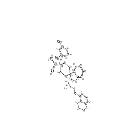 C[C@@H](COc1ncnc2c1CCCC2)C[C@H]1Cc2ccccc2C12CCC(Nc1cccc(Cl)c1)(C(=O)O)CC2